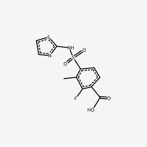 Cc1c(S(=O)(=O)Nc2nccs2)ccc(C(=O)O)c1F